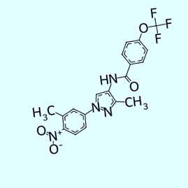 Cc1cc(-n2cc(NC(=O)c3ccc(OC(F)(F)F)cc3)c(C)n2)ccc1[N+](=O)[O-]